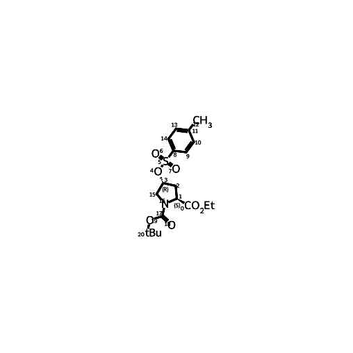 CCOC(=O)[C@@H]1C[C@@H](OS(=O)(=O)c2ccc(C)cc2)CN1C(=O)OC(C)(C)C